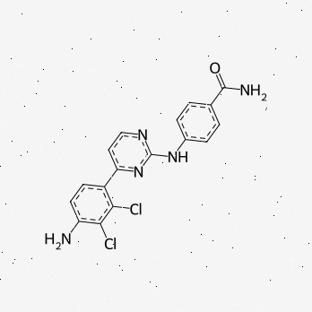 NC(=O)c1ccc(Nc2nccc(-c3ccc(N)c(Cl)c3Cl)n2)cc1